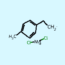 [CH2]Cc1ccc(C)cc1.[Cl][Mg][Cl]